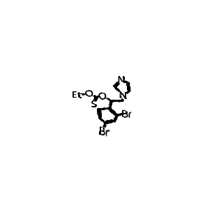 CCOC(=S)OC(Cn1ccnc1)c1ccc(Br)cc1Br